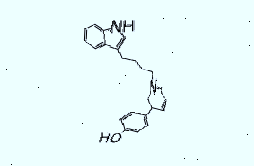 Oc1ccc(C2C=CCN(CCCCc3c[nH]c4ccccc34)C2)cc1